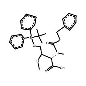 CO[C@@H](CO[Si](c1ccccc1)(c1ccccc1)C(C)(C)C)[C@@H](C(=O)O)N(C)C(=O)OCc1ccccc1